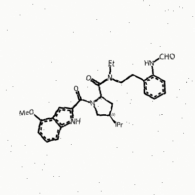 CCN(CCc1ccccc1NC=O)C(=O)C1C[C@@H](C(C)C)CN1C(=O)c1cc2c(OC)cccc2[nH]1